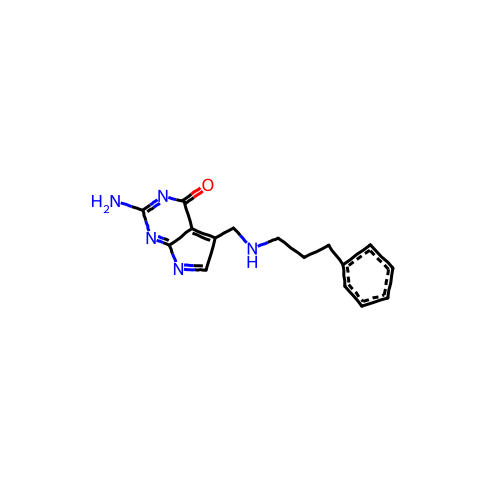 NC1=NC(=O)C2=C(CNCCCc3ccccc3)C=NC2=N1